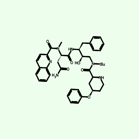 CN(C(=O)c1ccc2ccccc2n1)[C@@H](CC(N)=O)C(=O)N[C@@H](Cc1ccccc1)[C@H](O)CN(C(=O)C1C[C@H](Oc2ccccc2)CCN1)C(C)(C)C